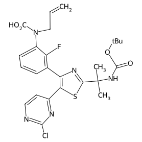 C=CCN(C(=O)O)c1cccc(-c2nc(C(C)(C)NC(=O)OC(C)(C)C)sc2-c2ccnc(Cl)n2)c1F